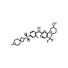 COC1CCCN(c2nc(Nc3ccc(S(=O)(=O)C4CC5(CCN(C)CC5)C4)cc3C)ncc2C(F)(F)F)C1